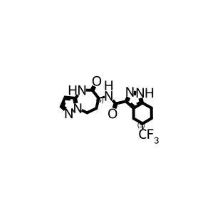 O=C(N[C@H]1CCn2nccc2NC1=O)c1n[nH]c2c1C[C@@H](C(F)(F)F)CC2